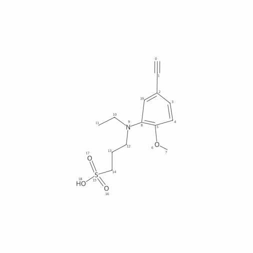 C#Cc1ccc(OC)c(N(CC)CCCS(=O)(=O)O)c1